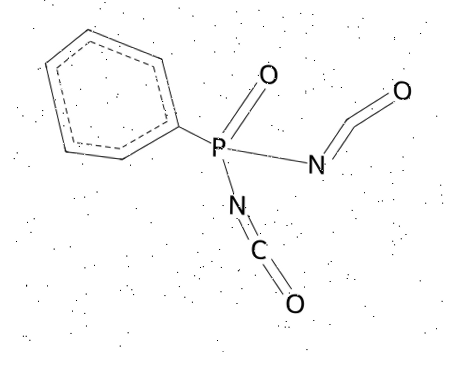 O=C=NP(=O)(N=C=O)c1ccccc1